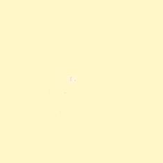 CCCCCCCCCCCCCCCCOCC(O)CNCC(O)CO[C@@H]1O[C@H](CO)[C@@H](O)[C@H](O)[C@H]1O